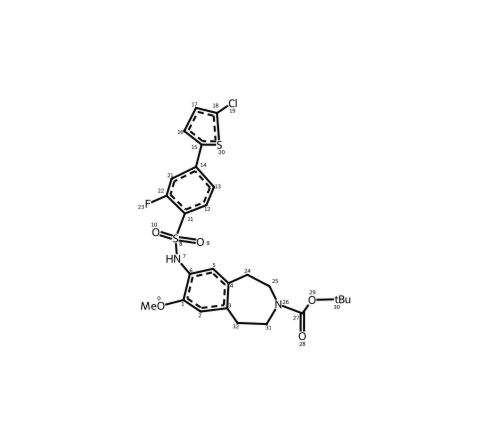 COc1cc2c(cc1NS(=O)(=O)c1ccc(-c3ccc(Cl)s3)cc1F)CCN(C(=O)OC(C)(C)C)CC2